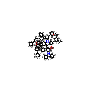 CC(C)(C)c1cc(-c2cc3c4c(c2)N(c2cc(-c5ccccc5)cc(-c5ccccc5)c2)c2cc([Si](c5ccccc5)(c5ccccc5)c5cccc(-c6ccccc6)c5)c([Si](c5ccccc5)(c5ccccc5)c5cccc(-c6ccccc6)c5)cc2B4c2ccc(-n4c5ccccc5c5ccccc54)cc2O3)cc(C(C)(C)C)c1